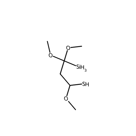 COC(S)CC([SiH3])(OC)OC